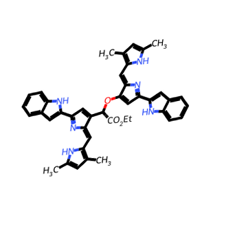 CCOC(=O)C(OC1=CC(c2cc3ccccc3[nH]2)=NC1=Cc1[nH]c(C)cc1C)C1=CC(c2cc3ccccc3[nH]2)=NC1=Cc1[nH]c(C)cc1C